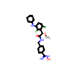 CO[C@H](C(=O)NCc1ccc(C(=N)NO)cc1)c1c(F)ccc(Nc2ccccc2)c1F